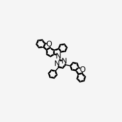 c1ccc(-c2cc(-c3ccc4oc5ccccc5c4c3)nc(-n3c4ccccc4c4c5oc6ccccc6c5ccc43)n2)cc1